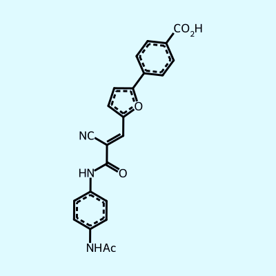 CC(=O)Nc1ccc(NC(=O)/C(C#N)=C/c2ccc(-c3ccc(C(=O)O)cc3)o2)cc1